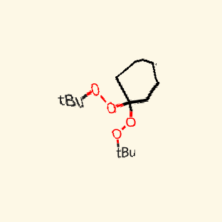 CC(C)(C)OOC1(OOC(C)(C)C)CC[CH]CC1